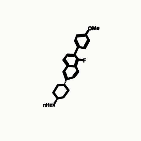 CCCCCC[C@H]1CC[C@H](c2ccc3c(F)c(-c4ccc(OC)cc4)ccc3c2)CC1